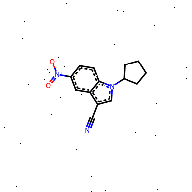 N#Cc1cn(C2CCCC2)c2ccc([N+](=O)[O-])cc12